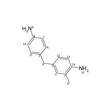 Cc1cc(Cc2ccc(N)cc2)ccc1N